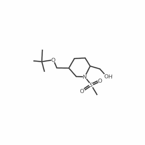 CC(C)(C)OCC1CCC(CO)N(S(C)(=O)=O)C1